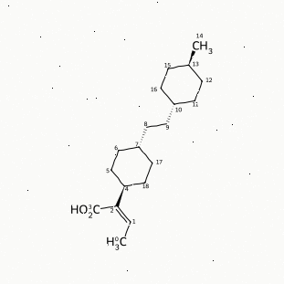 CC=C(C(=O)O)[C@H]1CC[C@H](CC[C@H]2CC[C@H](C)CC2)CC1